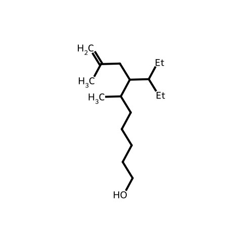 C=C(C)CC(C(C)CCCCCO)C(CC)CC